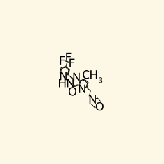 Cc1cc(CCN2CCOCC2)nc2c(=O)[nH]c(-c3cc(C(F)(F)F)ccn3)nc12